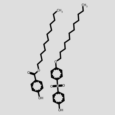 CCCCCCCCCCCCOC(=O)c1ccc(O)cc1.CCCCCCCCCCCCOc1ccc(S(=O)(=O)c2ccc(O)cc2)cc1